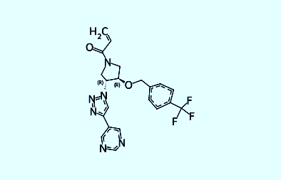 C=CC(=O)N1C[C@@H](n2cc(-c3cncnc3)nn2)[C@H](OCc2ccc(C(F)(F)F)cc2)C1